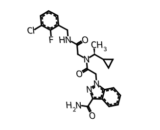 C[C@@H](C1CC1)N(CC(=O)NCc1cccc(Cl)c1F)C(=O)Cn1nc(C(N)=O)c2ccccc21